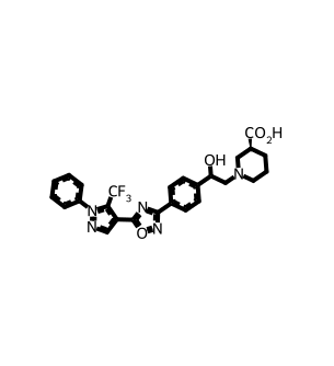 O=C(O)[C@H]1CCCN(CC(O)c2ccc(-c3noc(-c4cnn(-c5ccccc5)c4C(F)(F)F)n3)cc2)C1